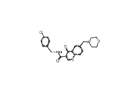 O=C(NCc1ccc(Cl)cc1)c1csc2ccc(CN3CCOCC3)cc2c1=O